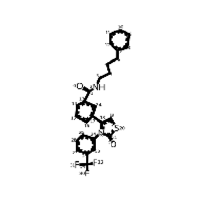 O=C(NCCCCc1ccccc1)c1cccc(-c2csc(=O)n2-c2cccc(C(F)(F)F)c2)c1